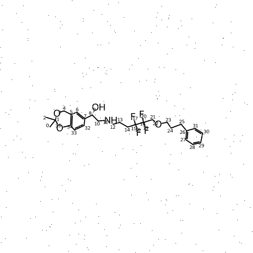 CC1(C)OCc2cc([C@H](O)CNCCCC(F)(F)C(F)(F)COCCCc3ccccc3)ccc2O1